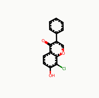 O=c1c(-c2ccccc2)coc2c(Cl)c(O)ccc12